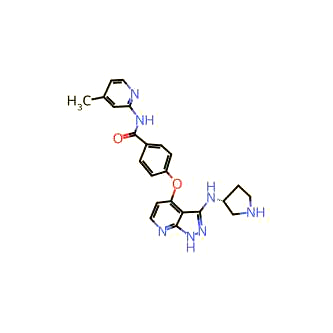 Cc1ccnc(NC(=O)c2ccc(Oc3ccnc4[nH]nc(N[C@@H]5CCNC5)c34)cc2)c1